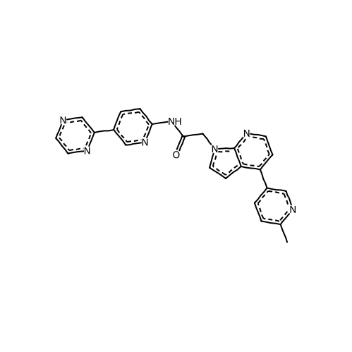 Cc1ccc(-c2ccnc3c2ccn3CC(=O)Nc2ccc(-c3cnccn3)cn2)cn1